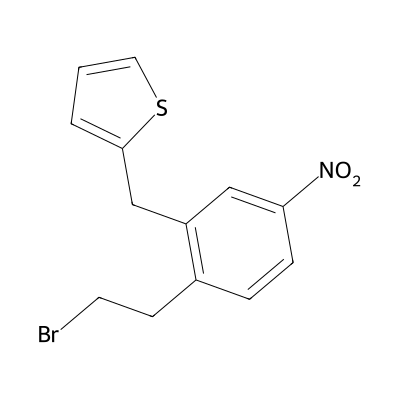 O=[N+]([O-])c1ccc(CCBr)c(Cc2cccs2)c1